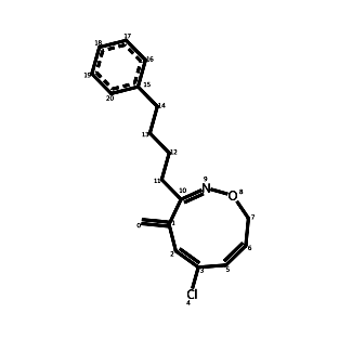 C=C1/C=C(Cl)\C=C/CO/N=C\1CCCCc1ccccc1